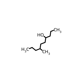 CCCC(C)CCC(O)CCC